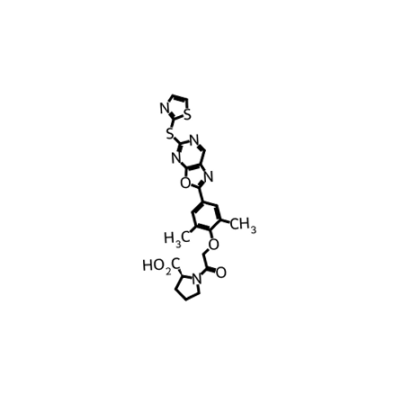 Cc1cc(-c2nc3cnc(Sc4nccs4)nc3o2)cc(C)c1OCC(=O)N1CCC[C@H]1C(=O)O